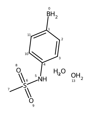 Bc1ccc(NS(C)(=O)=O)cc1.O.O